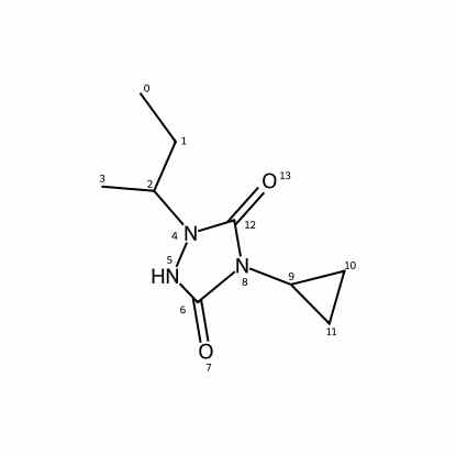 CCC(C)n1[nH]c(=O)n(C2CC2)c1=O